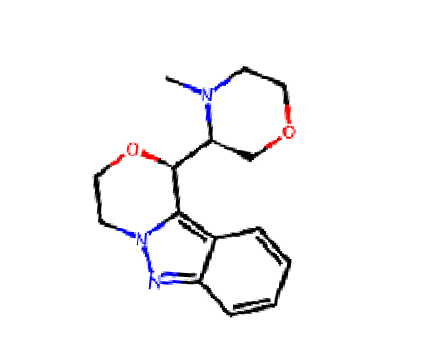 CN1CCOC[C@H]1[C@@H]1OCCn2nc3ccccc3c21